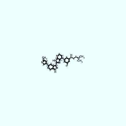 CN(C)CCNc1cc(F)cc(-c2ccnc3[nH]c(-c4n[nH]c5cnc(-c6cnn(C)c6)cc45)nc23)c1